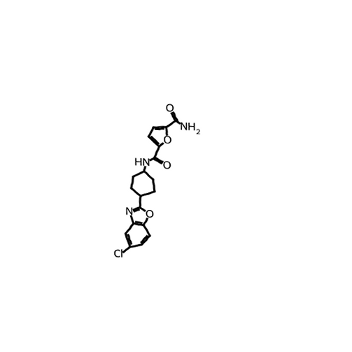 NC(=O)c1ccc(C(=O)NC2CCC(c3nc4cc(Cl)ccc4o3)CC2)o1